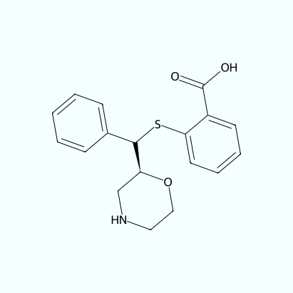 O=C(O)c1ccccc1SC(c1ccccc1)[C@@H]1CNCCO1